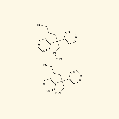 NCC(CCCO)(c1ccccc1)c1ccccc1.O=CNCC(CCCO)(c1ccccc1)c1ccccc1